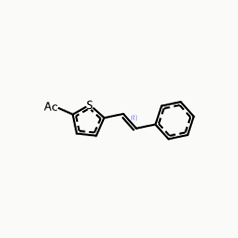 CC(=O)c1ccc(/C=C/c2ccccc2)s1